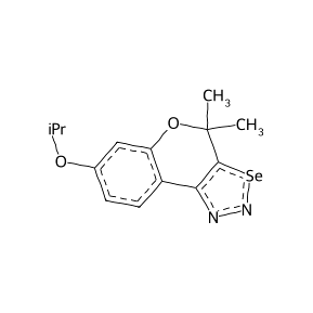 CC(C)Oc1ccc2c(c1)OC(C)(C)c1[se]nnc1-2